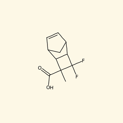 CC1(C(=O)O)C2C3C=CC(C3)C2C1(F)F